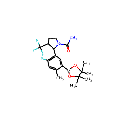 Cc1cc(F)c(C2C(C(F)(F)F)CCN2C(N)=O)cc1B1OC(C)(C)C(C)(C)O1